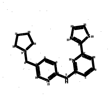 c1cc(Nc2ccc(CN3CCCC3)cn2)nc(-c2nccs2)c1